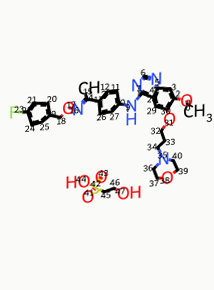 COc1cc2ncnc(Nc3ccc(C(C)=NOCc4ccc(F)cc4)cc3)c2cc1OCCCN1CCOCC1.O=S(=O)(O)CCO